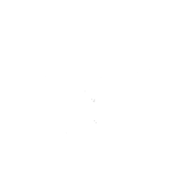 O=C(Nc1n[c]c(Cl)s1)C(Oc1ccc(F)cc1F)c1ccc(S(=O)(=O)C2CC2)c(Cl)c1